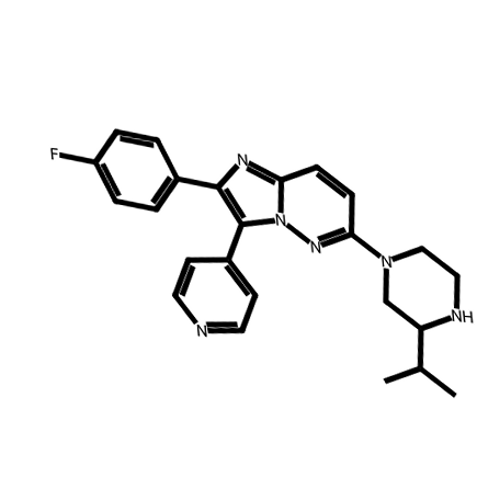 CC(C)C1CN(c2ccc3nc(-c4ccc(F)cc4)c(-c4ccncc4)n3n2)CCN1